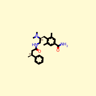 Cc1cc(C(N)=O)cc(C)c1C[C@@H](CNC(=O)C[C@H](C)c1ccccc1)N(C)C